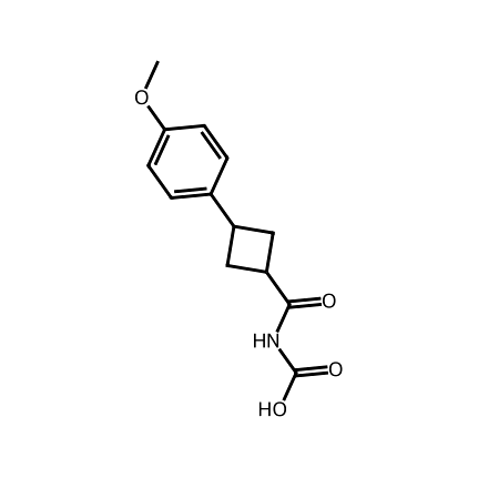 COc1ccc(C2CC(C(=O)NC(=O)O)C2)cc1